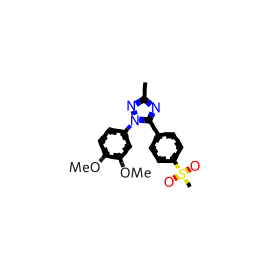 COc1ccc(-n2nc(C)nc2-c2ccc(S(C)(=O)=O)cc2)cc1OC